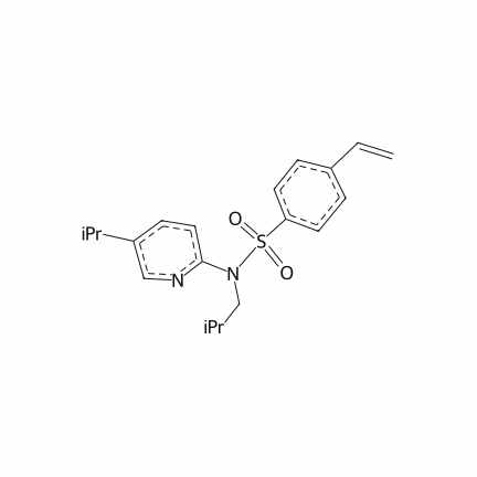 C=Cc1ccc(S(=O)(=O)N(CC(C)C)c2ccc(C(C)C)cn2)cc1